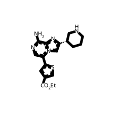 CCOC(=O)c1csc(-c2cnc(N)c3nc([C@H]4CCCNC4)cn23)c1